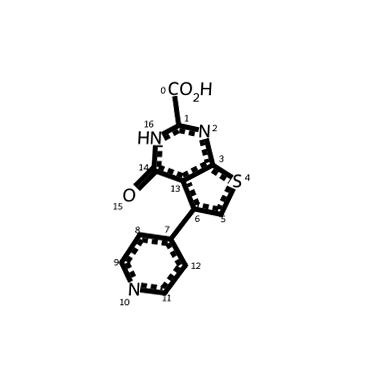 O=C(O)c1nc2scc(-c3ccncc3)c2c(=O)[nH]1